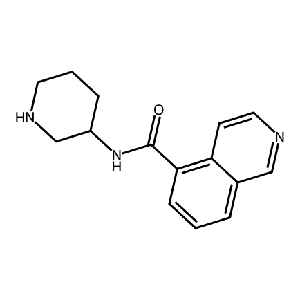 O=C(NC1CCCNC1)c1cccc2cnccc12